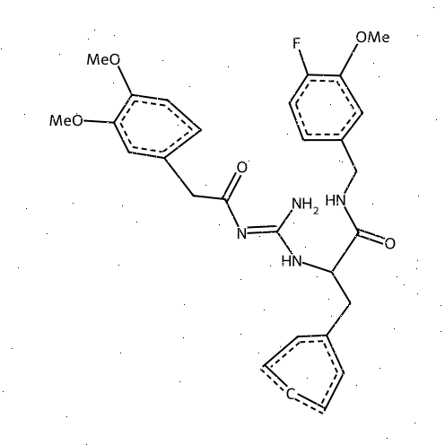 COc1cc(CNC(=O)C(Cc2ccccc2)NC(N)=NC(=O)Cc2ccc(OC)c(OC)c2)ccc1F